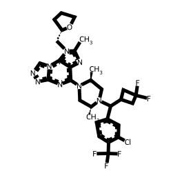 Cc1nc2c(N3C[C@@H](C)N(C(c4ccc(C(F)(F)F)c(Cl)c4)C4CC(F)(F)C4)C[C@@H]3C)nc3nncn3c2n1C[C@@H]1CCCO1